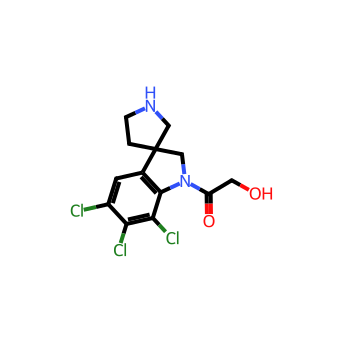 O=C(CO)N1CC2(CCNC2)c2cc(Cl)c(Cl)c(Cl)c21